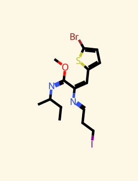 CCC(C)\N=C(OC)/C(=C\c1ccc(Br)s1)/N=C/CCI